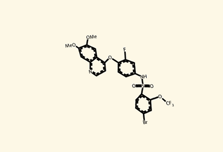 COc1cc2nccc(Oc3ccc(NS(=O)(=O)c4ccc(Br)cc4OC(F)(F)F)cc3F)c2cc1OC